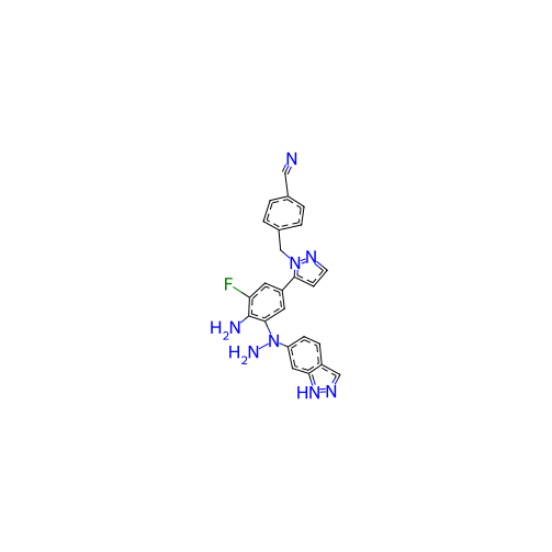 N#Cc1ccc(Cn2nccc2-c2cc(F)c(N)c(N(N)c3ccc4cn[nH]c4c3)c2)cc1